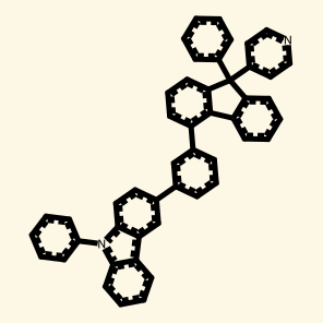 c1ccc(-n2c3ccccc3c3cc(-c4cccc(-c5cccc6c5-c5ccccc5C6(c5ccccc5)c5ccncc5)c4)ccc32)cc1